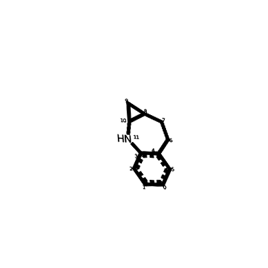 c1ccc2c(c1)CCC1CC1N2